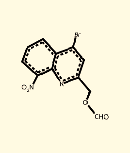 O=COCc1cc(Br)c2cccc([N+](=O)[O-])c2n1